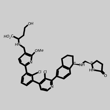 COc1nc(-c2cccc(-c3ccnc(-c4ccc5c(c4)CCC[C@H]5NC[C@H]4CCC(=O)N4)c3Cl)c2Cl)ccc1CNC(CCO)C(=O)O